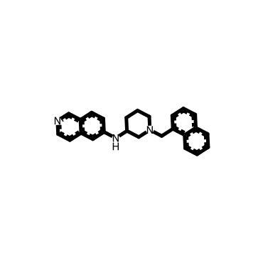 c1ccc2c(CN3CCCC(Nc4ccc5cnccc5c4)C3)cccc2c1